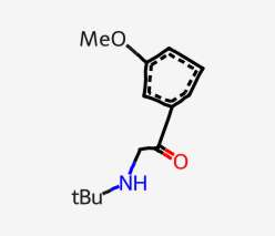 COc1cccc(C(=O)CNC(C)(C)C)c1